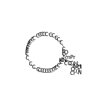 CCCC1=C(N[C@@H](Cc2ccc(NC(=O)c3c(Cl)cncc3Cl)cc2)C(=O)O)C2(CCCCCCCCCCCCCCCCCCCCCCCCCCCCCCCCCCCCCCCCCCCCCCCCCCC2)C1=O